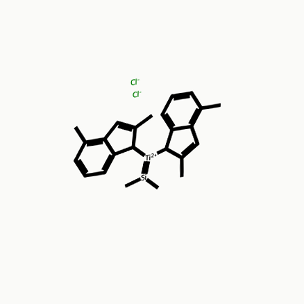 CC1=Cc2c(C)cccc2[CH]1[Ti+2]([CH]1C(C)=Cc2c(C)cccc21)=[Si](C)C.[Cl-].[Cl-]